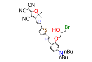 CCCCN(CCCC)c1ccc(/C=C/c2ccc(/C=C/C3=C(C#N)C(=C(C#N)C#N)OC3(C)C)s2)c(OCC(O)CBr)c1